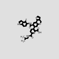 CC(C)CNC(=O)c1ccc(-c2cc3c(cc2C(=O)Nc2ccc4[nH]ccc4c2F)-c2sccc2CO3)c(C(=O)O)n1